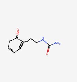 NC(=O)NCCC1=CC=CCC1=O